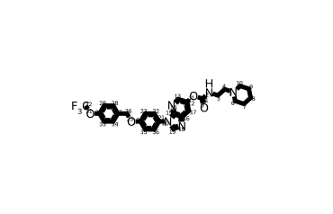 O=C(NCCN1CCCCC1)Oc1cnc2c(c1)ncn2-c1ccc(OCc2ccc(OC(F)(F)F)cc2)cc1